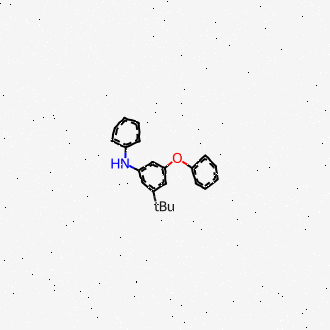 CC(C)(C)c1cc(Nc2ccccc2)cc(Oc2ccccc2)c1